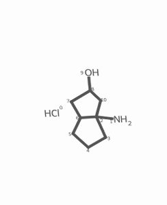 Cl.NC12CCCC1CC(O)C2